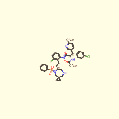 COC(=O)N[C@H](C(=O)Nc1cccc(F)c1CC[C@H]1CNCC2(CC2)CN1S(=O)(=O)c1ccccc1)[C@@H](c1ccc(Cl)cc1)c1ccc(OC)nc1